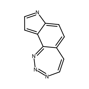 c1cc2ccc3nccc3c2nnn1